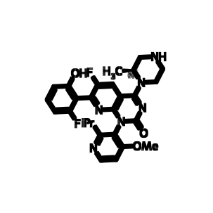 COc1ccnc(C(C)C)c1-n1c(=O)nc(N2CCNC[C@@H]2C)c2cc(F)c(-c3c(O)cccc3F)nc21